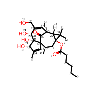 CCCCCC(=O)O[C@@]12C[C@@H](C)[C@]34C=C(C)[C@H](O)[C@@]3(O)[C@H](O)C(CO)=C[C@H](C4=O)[C@@H]1C2(C)C